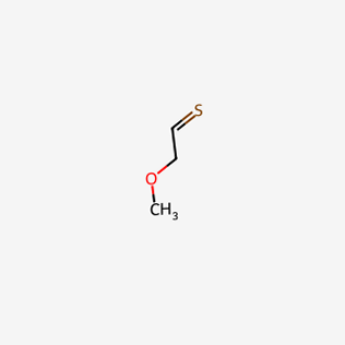 COCC=S